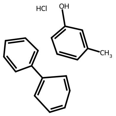 Cc1cccc(O)c1.Cl.c1ccc(-c2ccccc2)cc1